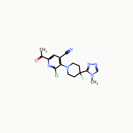 CC(=O)c1cc(C#N)c(N2CCC(F)(c3nncn3C)CC2)c(Cl)n1